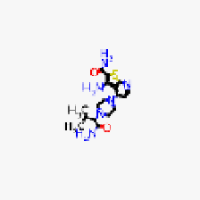 CC(C)C(C(N)=O)N1CCN(c2ccnc3sc(C(N)=O)c(N)c23)CC1